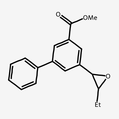 CCC1OC1c1cc(C(=O)OC)cc(-c2ccccc2)c1